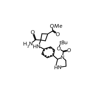 COC(=O)C1CC(Nc2ccc(C3CNCCN3C(=O)OC(C)(C)C)cc2)(C(N)=O)C1